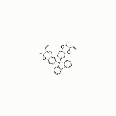 C=CC(=O)C(C)Oc1ccc(C2(c3ccc(OC(C)C(=O)C=C)cc3)c3ccccc3-c3ccccc32)cc1